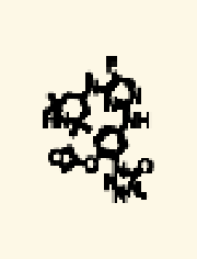 CN(c1nc(Nc2ccc(OC3COC3)c(-n3nnn(C)c3=O)c2)ncc1F)C1CC(C)(C)NC(C)(C)C1